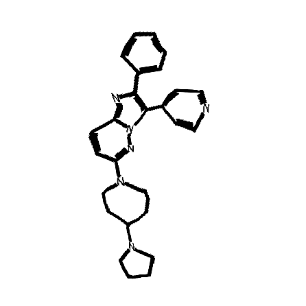 c1ccc(-c2nc3ccc(N4CCC(N5CCCC5)CC4)nn3c2-c2ccncc2)cc1